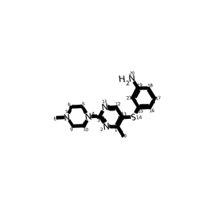 Cc1nc(N2CCN(C)CC2)ncc1Sc1cccc(N)c1